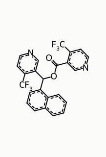 O=C(OC(c1cnccc1C(F)(F)F)c1cccc2ccccc12)c1cnccc1C(F)(F)F